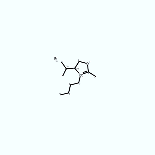 CCCC[N+]1=C(C)OC[C@@H]1C(C)C.[Br-]